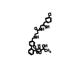 C[C@H](O)C(=O)NS(=O)(=O)c1ccccc1-c1ccc(CNCCC(=O)NC[C@H](S)Cc2cccc(Cl)c2)cc1